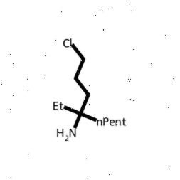 CCCCCC(N)(CC)CCCCl